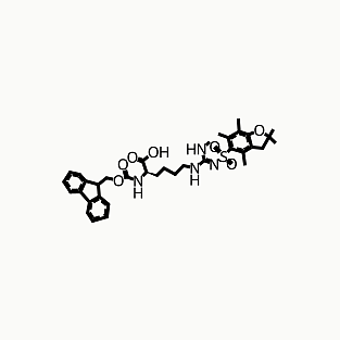 CN/C(=N\S(=O)(=O)c1c(C)c(C)c2c(c1C)CC(C)(C)O2)NCCCC[C@@H](NC(=O)OCC1c2ccccc2-c2ccccc21)C(=O)O